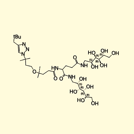 CC(C)(C)Cc1cn(C(C)(C)CCOC(C)(C)CCC(=O)NC(CCC(=O)NC[C@H](O)[C@@H](O)[C@H](O)[C@H](O)CO)C(=O)NC[C@H](O)[C@@H](O)[C@H](O)[C@H](O)CO)nn1